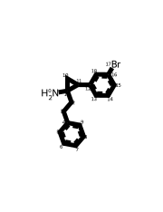 NC1(CCc2ccccc2)CC1c1cccc(Br)c1